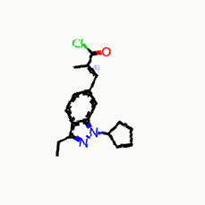 CCc1nn(C2CCCC2)c2cc(/C=C(\C)C(=O)Cl)ccc12